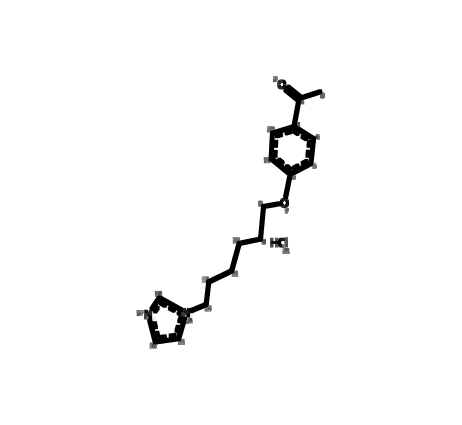 CC(=O)c1ccc(OCCCCCCn2ccnc2)cc1.Cl